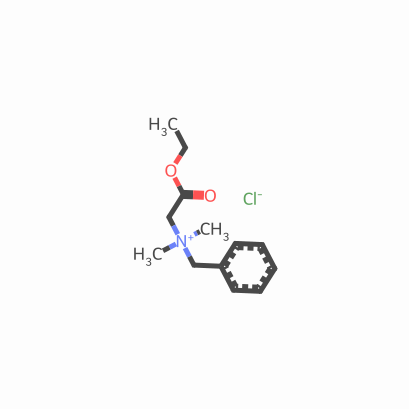 CCOC(=O)C[N+](C)(C)Cc1ccccc1.[Cl-]